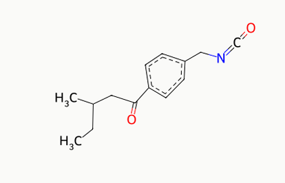 CCC(C)CC(=O)c1ccc(CN=C=O)cc1